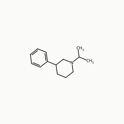 CC(C)N1CCCC(c2ccccc2)C1